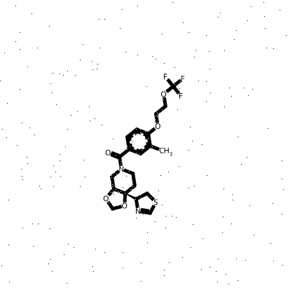 Cc1cc(C(=O)N2CC[C@]3(C4CSC=N4)OCOC3C2)ccc1OCCOC(F)(F)F